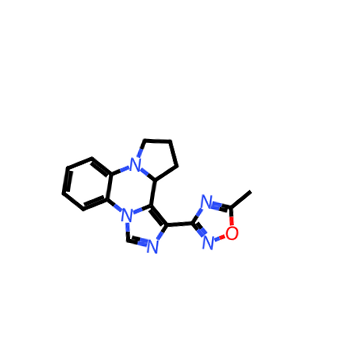 Cc1nc(-c2ncn3c2C2CCCN2c2ccccc2-3)no1